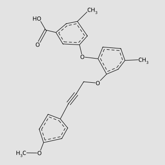 COc1ccc(C#CCOc2cc(C)ccc2Oc2cc(C)cc(C(=O)O)c2)cc1